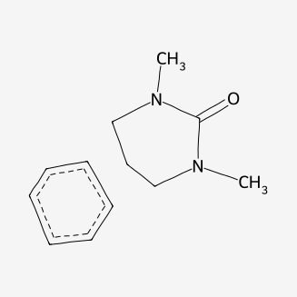 CN1CCCN(C)C1=O.c1ccccc1